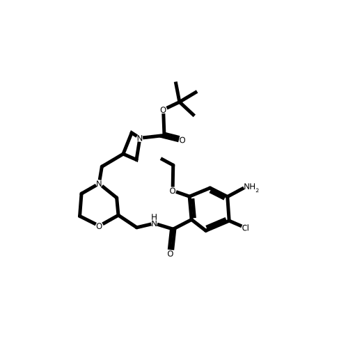 CCOc1cc(N)c(Cl)cc1C(=O)NCC1CN(CC2CN(C(=O)OC(C)(C)C)C2)CCO1